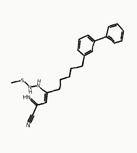 CSNN/C(=C\C(=N)C#N)CCCCCc1cccc(-c2ccccc2)c1